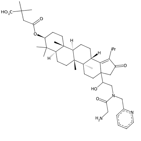 CC(C)C1=C2[C@H]3CC[C@@H]4[C@@]5(C)CC[C@H](OC(=O)CC(C)(C)C(=O)O)C(C)(C)[C@@H]5CC[C@@]4(C)[C@]3(C)CCC2(C(O)CN(Cc2ccccn2)C(=O)CN)CC1=O